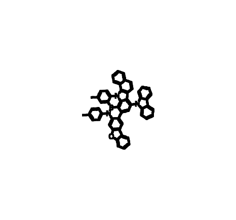 Cc1ccc(N2B3c4cc(C)ccc4-n4c5c3c(cc(-n3c6ccccc6c6ccccc63)c5c3ccc5ccccc5c34)-c3cc4c(cc32)oc2ccccc24)cc1